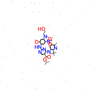 COc1cc(N(C)CCO)c([N+](=O)[O-])cc1Nc1ncc(C(=O)OC(C)C)c(N2CC(C)(C)c3nc(C)ccc32)n1